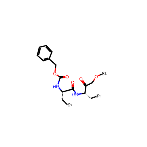 CCOCC(=O)[C@H](CC(C)C)NC(=O)[C@H](CC(C)C)NC(=O)OCc1ccccc1